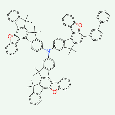 CC1(C)c2cc(N(c3ccc4c(c3)C(C)(C)c3c5c(c6oc7ccccc7c6c3-4)-c3ccccc3C5(C)C)c3ccc4c(c3)C(C)(C)c3c5c(c6oc7ccccc7c6c3-4)-c3ccccc3C5(C)C)ccc2-c2c1cc(-c1cccc(-c3ccccc3)c1)c1oc3ccccc3c21